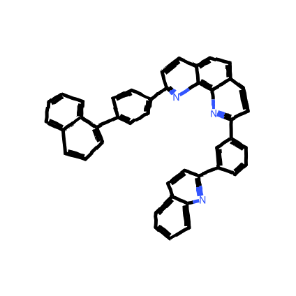 c1cc(-c2ccc3ccccc3n2)cc(-c2ccc3ccc4ccc(-c5ccc(-c6cccc7ccccc67)cc5)nc4c3n2)c1